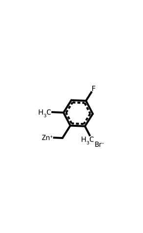 Cc1cc(F)cc(C)c1[CH2][Zn+].[Br-]